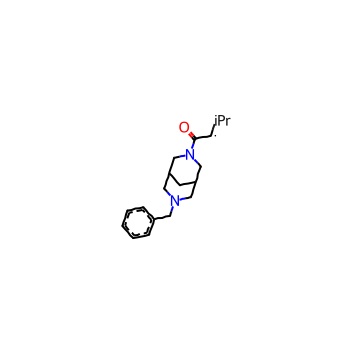 CC(C)[CH]C(=O)N1CC2CC(CN(Cc3ccccc3)C2)C1